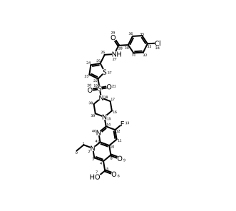 CCn1cc(C(=O)O)c(=O)c2cc(F)c(N3CCN(S(=O)(=O)c4ccc(CNC(=O)c5ccc(Cl)cc5)s4)CC3)nc21